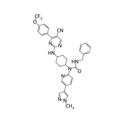 Cn1cc(-c2ccc(N(C(=O)NCc3ccccc3)C3CCC(Nc4ncc(C#N)c(-c5ccc(OC(F)(F)F)cc5)n4)CC3)nc2)cn1